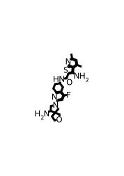 Cc1cc(C)c2c(N)c(C(=O)NC3CCc4nc(N5CC(N)C6(CCOC6)C5)cc(F)c4C3)sc2n1